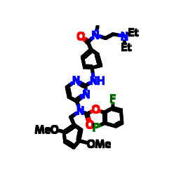 CCN(CC)CCN(C)C(=O)c1ccc(Nc2nccc(N(Cc3cc(OC)ccc3OC)C(=O)Oc3c(F)cccc3F)n2)cc1